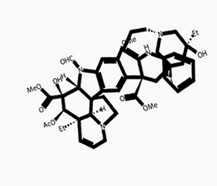 CC[C@]1(O)C[C@H]2C[N@](CC/C=C(\Nc3ccccc3)[C@@](C(=O)OC)(c3cc4c(cc3OC)N(C=O)[C@H]3[C@@](O)(C(=O)OC)[C@H](OC(C)=O)[C@]5(CC)C=CCN6CC[C@]43[C@@H]65)C2)C1